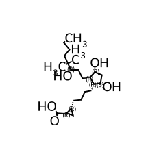 CCCCC(C)(C)[C@H](O)CC[C@@H]1[C@@H](CCCC[C@@H]2C[C@H]2C(=O)O)[C@@H](O)C[C@H]1O